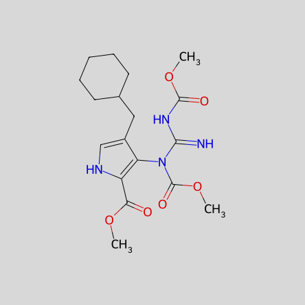 COC(=O)NC(=N)N(C(=O)OC)c1c(CC2CCCCC2)c[nH]c1C(=O)OC